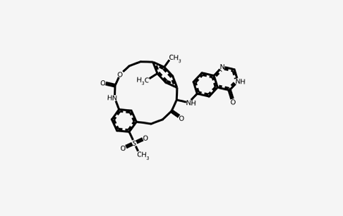 Cc1cc2cc(C)c1CCOC(=O)Nc1ccc(S(C)(=O)=O)c(c1)CCC(=O)C2Nc1ccc2nc[nH]c(=O)c2c1